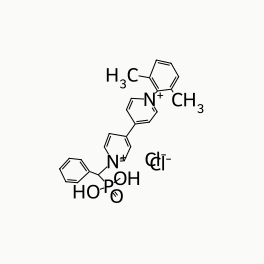 Cc1cccc(C)c1-[n+]1ccc(-c2cc[n+](C(c3ccccc3)P(=O)(O)O)cc2)cc1.[Cl-].[Cl-]